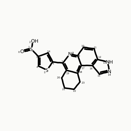 O=S(O)c1csc(-c2nc3ccc4[nH]ncc4c3c3c2CCCC3)c1